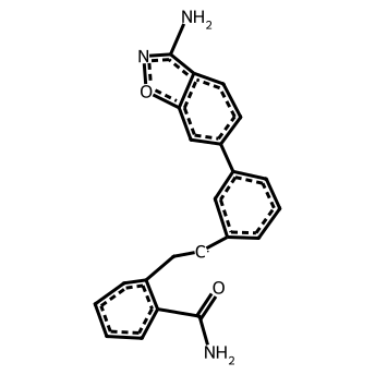 NC(=O)c1ccccc1C[CH]c1cccc(-c2ccc3c(N)noc3c2)c1